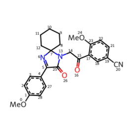 COc1ccc(C2=NC3(CCCCC3)N(CC(=O)c3cc(C#N)ccc3OC)C2=O)cc1